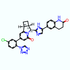 O=C1CCc2cc(-c3cnc([C@@H]4[C@H]5CC[C@H]5c5cc(-c6cc(Cl)ccc6-n6cnnn6)cc(=O)n54)[nH]3)ccc2N1